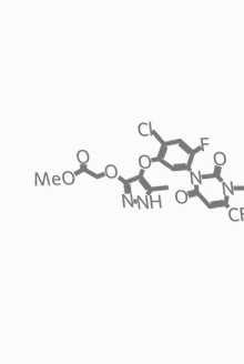 COC(=O)COc1n[nH]c(C)c1Oc1cc(-n2c(=O)cc(C(F)(F)F)n(C)c2=O)c(F)cc1Cl